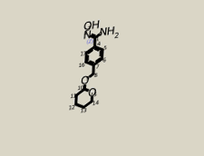 N/C(=N\O)c1ccc(COC2CCCCO2)cc1